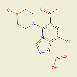 CC(=O)c1cc(Cl)c2c(C(=O)O)ncn2c1N1CC[S+]([O-])CC1